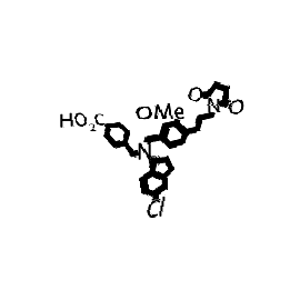 COc1cc(CN(CC2CCC(C(=O)O)CC2)[C@@H]2CCc3cc(Cl)ccc32)ccc1CCCN1C(=O)CCC1=O